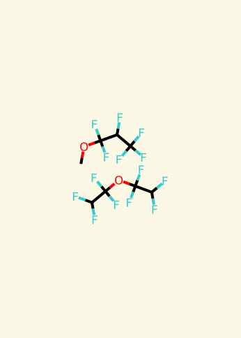 COC(F)(F)C(F)C(F)(F)F.FC(F)C(F)(F)OC(F)(F)C(F)F